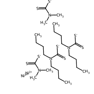 CCCCN(CCCC)C(=S)[S-].CCCCN(CCCC)C(=S)[S-].CN(C)C(=S)[S-].CN(C)C(=S)[S-].[Ni+2].[Ni+2]